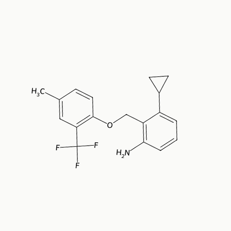 Cc1ccc(OCc2c(N)cccc2C2CC2)c(C(F)(F)F)c1